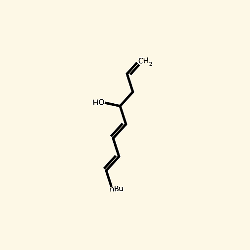 C=CCC(O)C=CC=CCCCC